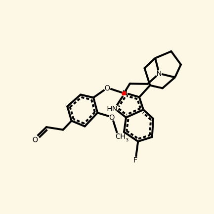 COc1cc(CC=O)ccc1OCCCN1C2CCC1CC(c1n[nH]c3cc(F)ccc13)C2